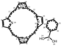 C1=Cc2cc3ccc(cc4nc(cc5ccc(cc1n2)[nH]5)C=C4)[nH]3.OB(O)c1ccccc1